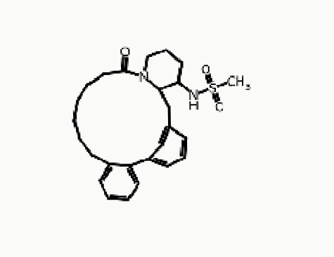 CS(=O)(=O)NC1CCCN2C(=O)CCCCCCc3ccccc3-c3cccc(c3)CC12